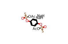 CC(=O)OS(=O)(=S)Oc1ccc(OS(=O)(=S)OC(C)=O)cc1.[NaH].[NaH]